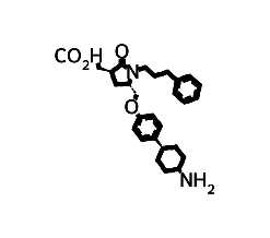 N[C@H]1CC[C@@H](c2ccc(OC[C@@H]3C[C@@H](CC(=O)O)C(=O)N3CCCc3ccccc3)cc2)CC1